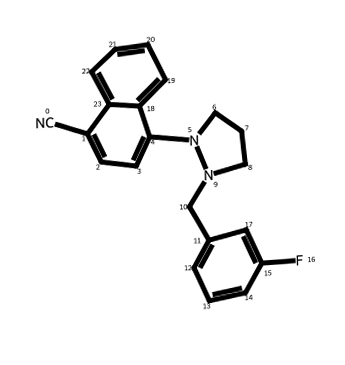 N#Cc1ccc(N2CCCN2Cc2cccc(F)c2)c2ccccc12